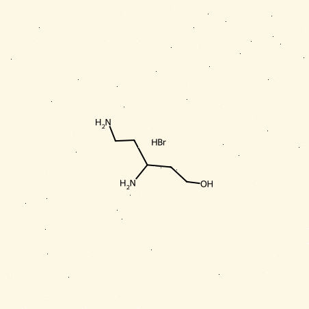 Br.NCCC(N)CCO